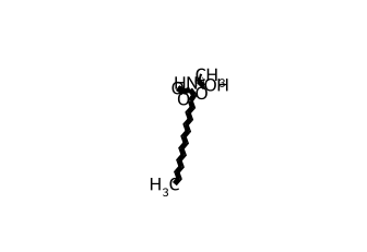 CCCCCCCCCCCCCCC1CC(N[C@@H](C)C(=O)O)C(=O)O1